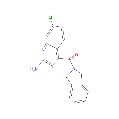 Nc1nc(C(=O)N2Cc3ccccc3C2)c2ccc(Cl)cc2n1